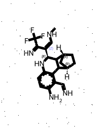 CN/C=C(\C(=N)C(F)(F)F)[C@@H]1Nc2ccc(N)c(C=N)c2C2C1[C@@H]1CC[C@@H]2C1